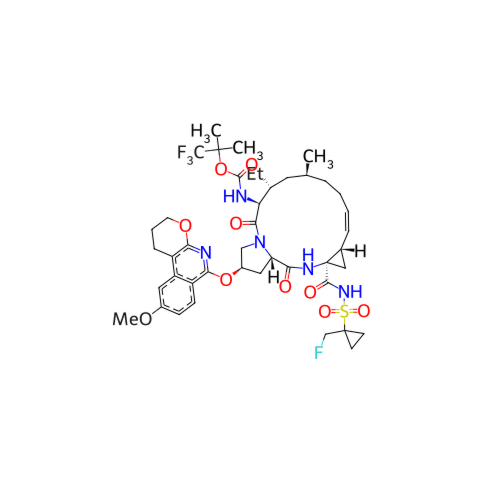 CC[C@@H]1C[C@@H](C)CC/C=C\[C@@H]2C[C@@]2(C(=O)NS(=O)(=O)C2(CF)CC2)NC(=O)[C@@H]2C[C@@H](Oc3nc4c(c5cc(OC)ccc35)CCCO4)CN2C(=O)[C@H]1NC(=O)OC(C)(C)C(F)(F)F